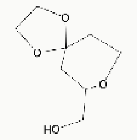 OCC1CC2(CCO1)OCCO2